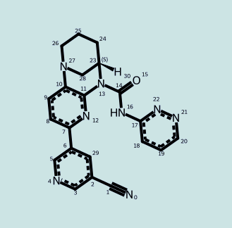 N#Cc1cncc(-c2ccc3c(n2)N(C(=O)Nc2cccnn2)[C@H]2CCCN3C2)c1